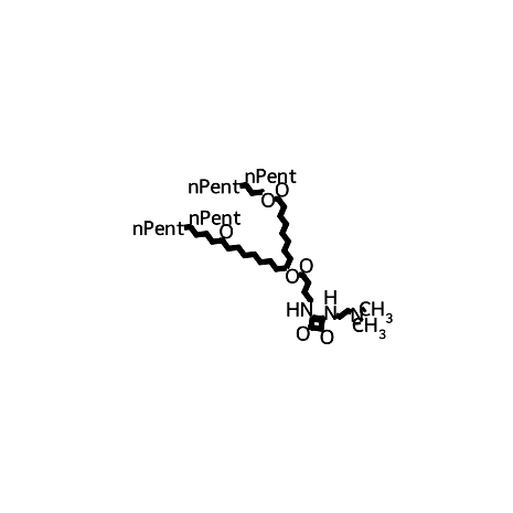 CCCCCC(CCCCC)CCCC(=O)CCCCCCCC(CCCCCCCC(=O)OCCC(CCCCC)CCCCC)OC(=O)CCCNc1c(NCCN(C)C)c(=O)c1=O